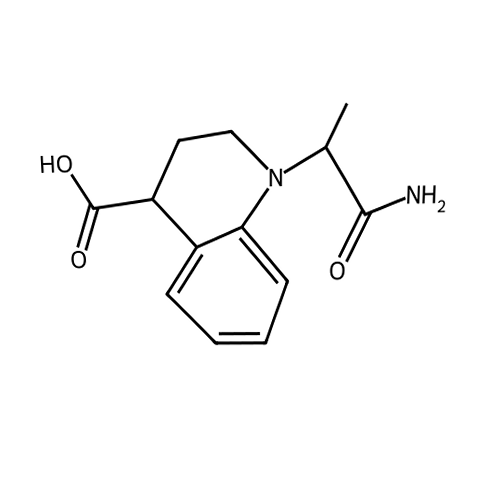 CC(C(N)=O)N1CCC(C(=O)O)c2ccccc21